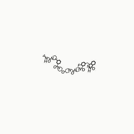 O=C(CN1CCC(OC2CCN(C(=O)c3cccc([C@@H]4CCCN(C(=O)CNC5CC5)C4)c3)CC2)CC1)N1CCN(C(=O)c2cc(Cc3n[nH]c(=O)c4ccccc34)ccc2F)CC1